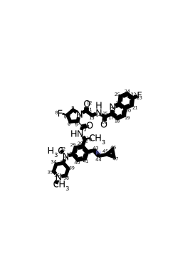 C[C@H](NC(=O)[C@@H]1C[C@@H](F)CN1C(=O)CNC(=O)c1ccc2cc(F)ccc2n1)c1cc(N(C)C2CCN(C)CC2)ccc1/C=C/C1CC1